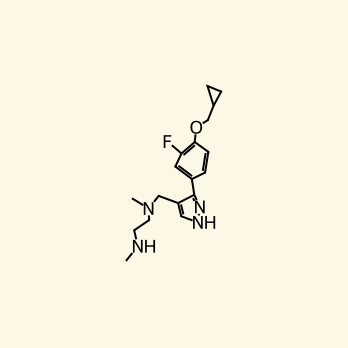 CNCCN(C)Cc1c[nH]nc1-c1ccc(OCC2CC2)c(F)c1